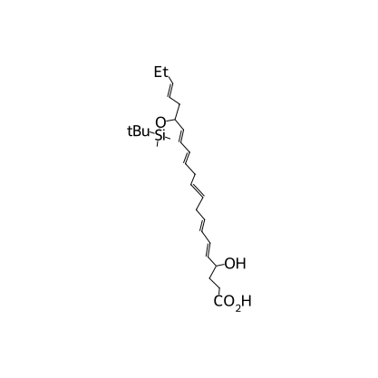 CCC=CCC(C=CC=CCC=CCC=CC=CC(O)CCC(=O)O)O[Si](C)(C)C(C)(C)C